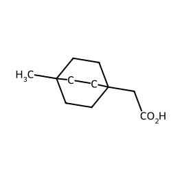 CC12CCC(CC(=O)O)(CC1)CC2